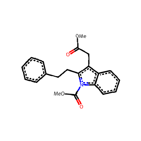 COC(=O)Cc1c(CCc2ccccc2)n(C(=O)OC)c2ccccc12